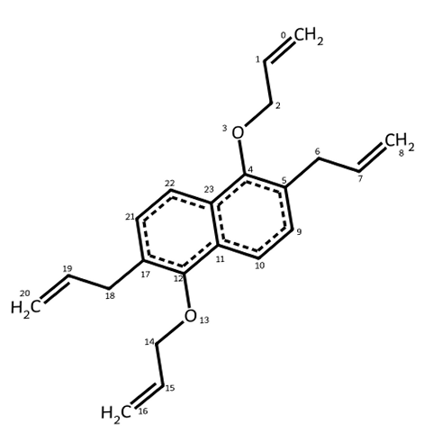 C=CCOc1c(CC=C)ccc2c(OCC=C)c(CC=C)ccc12